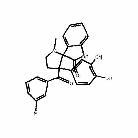 CN1CCC(C(=O)c2cccc(F)c2)(c2ccc(O)c(O)c2)C12C(=O)Nc1ccccc12